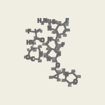 C=C(F)C(=O)N[C@H]1COCCN(c2nc(OCC3(CN4CCOCC4)CC3)nc3c(F)c(-c4ccc(F)c5sc(N)nc45)ncc23)C1